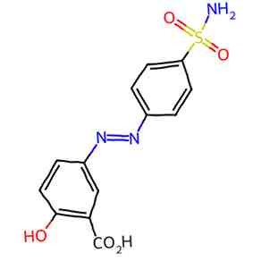 NS(=O)(=O)c1ccc(/N=N/c2ccc(O)c(C(=O)O)c2)cc1